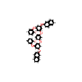 c1ccc2c(c1)Oc1cc(Oc3ccc4ccccc4c3)cc3c1B2c1cc2c(cc1O3)Oc1cc(Oc3ccc4ccccc4c3)cc3c1B2c1ccccc1O3